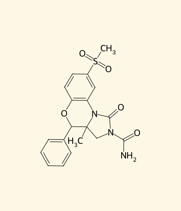 CC12CN(C(N)=O)C(=O)N1c1cc(S(C)(=O)=O)ccc1OC2c1ccccc1